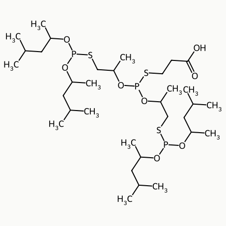 CC(C)CC(C)OP(OC(C)CC(C)C)SCC(C)OP(OC(C)CSP(OC(C)CC(C)C)OC(C)CC(C)C)SCCC(=O)O